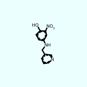 O=[N+]([O-])c1cc(NCc2cccnc2)ccc1O